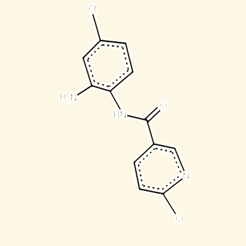 Nc1cc(Cl)ccc1NC(=O)c1ccc(Cl)nc1